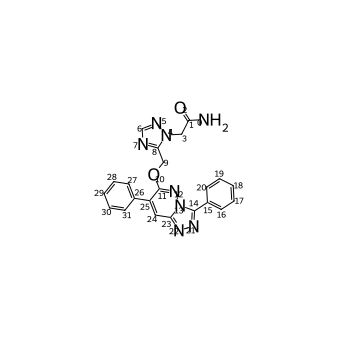 NC(=O)Cn1ncnc1COc1nn2c(-c3ccccc3)nnc2cc1-c1ccccc1